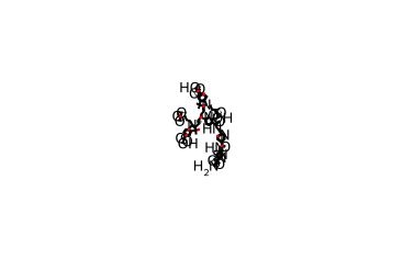 CC1(C)C(/C=C/C(=C/C=C2/N(CCCS(=O)(=O)O)c3ccc(S(=O)(=O)O)cc3C2(C)C)c2ccc(C(=O)NCc3ccc(C(=O)Nc4nnc(S(N)(=O)=O)s4)cn3)cn2)=[N+](CCCS(=O)(=O)[O-])c2ccc(S(=O)(=O)O)cc21